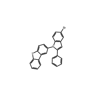 Brc1ccc2c(c1)cc(-c1ccccc1)n2-c1ccc2sc3ccccc3c2c1